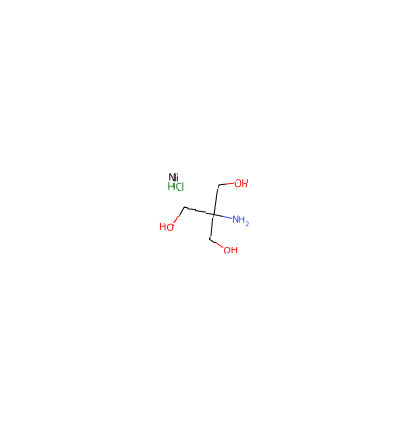 Cl.NC(CO)(CO)CO.[Ni]